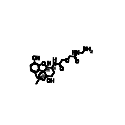 CN1CCC23c4c5ccc(O)c4O[C@H]2[C@@H](NC(=O)COCC(=O)NCN)CC[C@@]3(O)C1C5